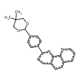 CC1(C)COC(c2ccc(-c3ccc4ccc5cccnc5c4n3)cc2)OC1